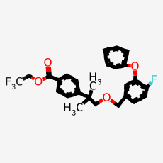 CC(C)(COCc1ccc(F)c(Oc2ccccc2)c1)c1ccc(C(=O)OCC(F)(F)F)cc1